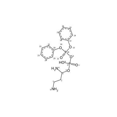 NCCC(N)OP(=O)(O)OP(=O)(Oc1ccccc1)Oc1ccccc1